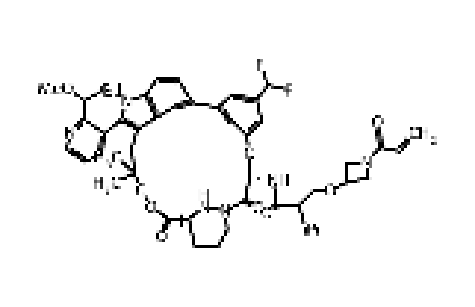 C=CC(=O)N1CC(OCC(C(=O)N[C@H]2Cc3cc(cc(C(F)F)c3)-c3ccc4c(c3)c(c(-c3cccnc3[C@H](C)OC)n4CC)CC(C)(C)COC(=O)[C@@H]3CCCN(N3)C2=O)C(C)C)C1